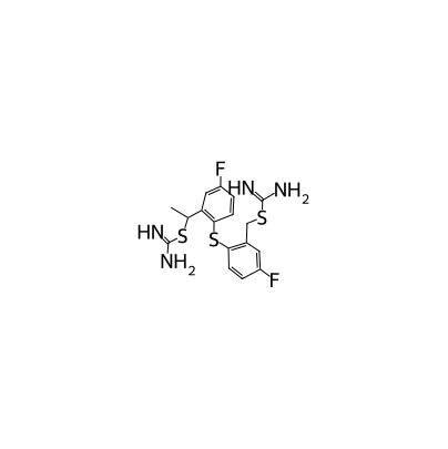 CC(SC(=N)N)c1cc(F)ccc1Sc1ccc(F)cc1CSC(=N)N